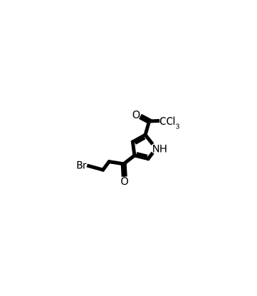 O=C(CCBr)c1c[nH]c(C(=O)C(Cl)(Cl)Cl)c1